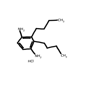 CCCCc1c(N)ccc(N)c1CCCC.Cl